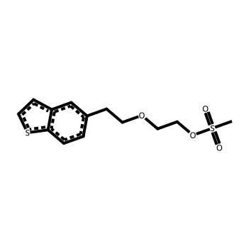 CS(=O)(=O)OCCOCCc1ccc2sccc2c1